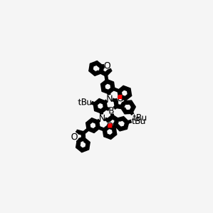 CC(C)(C)c1cc2c3c(c1)N(c1ccc(-c4coc5ccccc45)cc1-c1ccccc1)c1oc4ccc(C(C)(C)C)cc4c1B3c1c(oc3ccc(C(C)(C)C)cc13)N2c1ccc(-c2coc3ccccc23)cc1-c1ccccc1